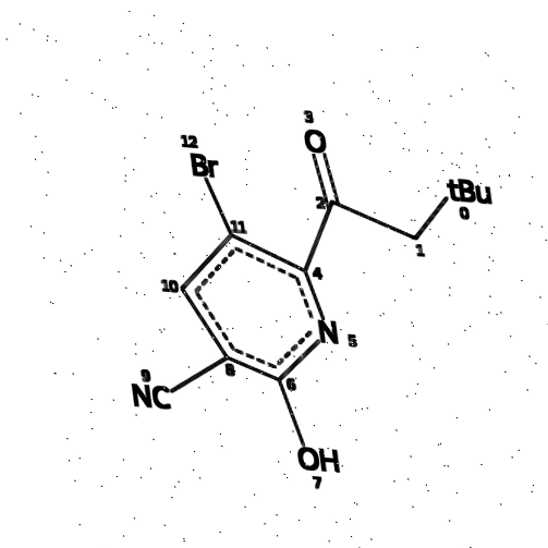 CC(C)(C)CC(=O)c1nc(O)c(C#N)cc1Br